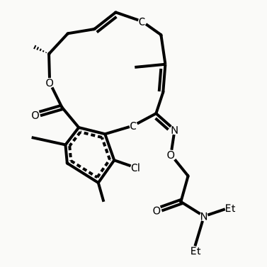 CCN(CC)C(=O)CO/N=C1/C=C(\C)CC/C=C/C[C@@H](C)OC(=O)c2c(C)cc(C)c(Cl)c2C1